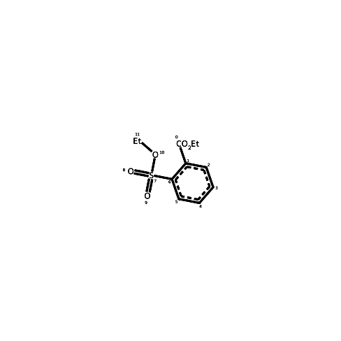 CCOC(=O)c1ccccc1S(=O)(=O)OCC